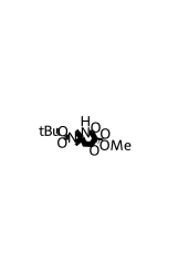 COC(=O)[C@H]1C(=O)CC2(CN(C(=O)OC(C)(C)C)C2)NC1=O